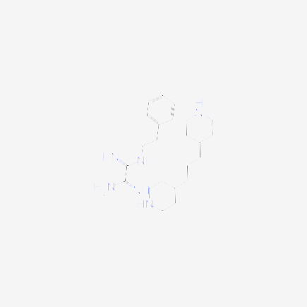 C(CC1CCNCC1)CC1CCNCC1.N=C(N)C(=N)NCCc1ccccc1